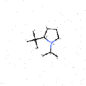 CC(C)N1CCC[C@@H]1C(C)(C)C